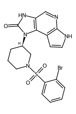 O=c1[nH]c2cnc3[nH]ccc3c2n1[C@@H]1CCCN(S(=O)(=O)c2ccccc2Br)C1